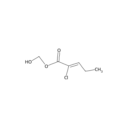 CCC=C(Cl)C(=O)OCO